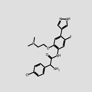 CN(C)CCOc1cc(-c2cn[nH]c2)c(F)cc1NC(=O)C(N)c1ccc(Cl)cc1